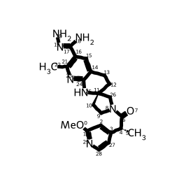 COc1cc([C@@H](C)C(=O)N2CC[C@@]3(CCc4cc(/C(N)=N/N)c(C)nc4N3)C2)ccn1